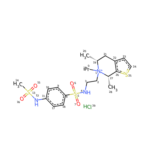 CC(C)[N+]1(CCNS(=O)(=O)c2ccc(NS(C)(=O)=O)cc2)[C@H](C)Cc2ccsc2[C@@H]1C.Cl